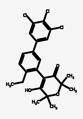 CCc1ccc(-c2cc(Cl)c(Cl)c(Cl)c2)cc1C1=C(O)C(C)(C)OC(C)(C)C1=O